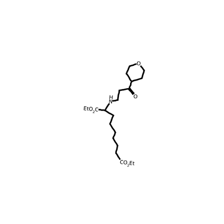 CCOC(=O)CCCCCCC(NCCC(=O)C1CCOCC1)C(=O)OCC